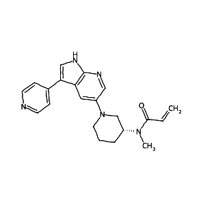 C=CC(=O)N(C)[C@@H]1CCCN(c2cnc3[nH]cc(-c4ccncc4)c3c2)C1